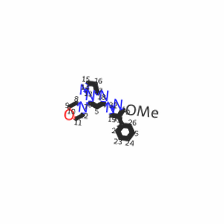 COc1nn(-c2cc(N3CCOCC3)n3nccc3n2)cc1-c1ccccc1